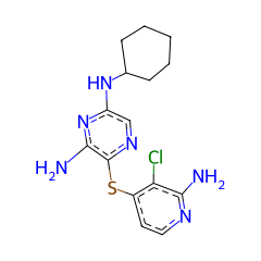 Nc1nc(NC2CCCCC2)cnc1Sc1ccnc(N)c1Cl